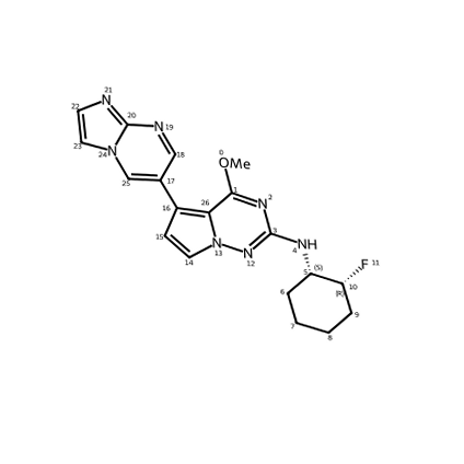 COc1nc(N[C@H]2CCCC[C@H]2F)nn2ccc(-c3cnc4nccn4c3)c12